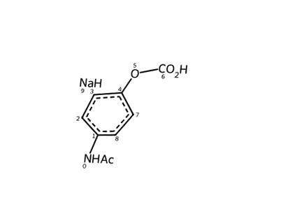 CC(=O)Nc1ccc(OC(=O)O)cc1.[NaH]